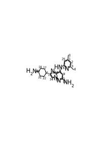 Cc1cc(C)nc(Nc2cc(N)nn3cc([C@H]4CC[C@H](N)CC4)nc23)c1